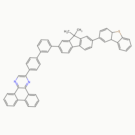 CC1(C)c2cc(C3=CC4c5ccccc5SC4C=C3)ccc2-c2ccc(-c3cccc(-c4ccc(-c5cnc6c7ccccc7c7ccccc7c6n5)cc4)c3)cc21